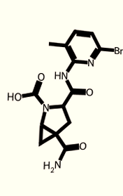 Cc1ccc(Br)nc1NC(=O)C1CC2(C(N)=O)CC2N1C(=O)O